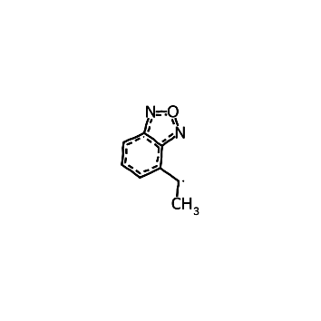 C[CH]c1cccc2nonc12